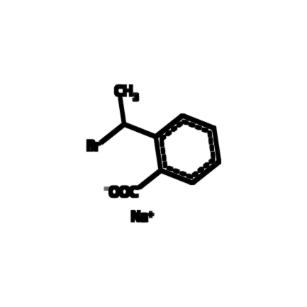 CC(Br)c1ccccc1C(=O)[O-].[Na+]